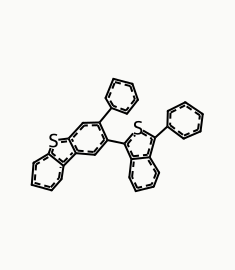 c1ccc(-c2cc3sc4ccccc4c3cc2-c2sc(-c3ccccc3)c3ccccc23)cc1